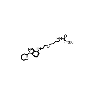 CC(C)(C)OC(=O)NCCCCOCCNc1cccc2c1cnn2C1CCCCO1